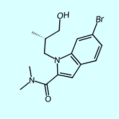 C[C@H](CO)Cn1c(C(=O)N(C)C)cc2ccc(Br)cc21